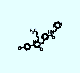 O=C(NCc1cnccn1)c1cccc(Cn2c(CCCC(F)(F)F)nc(-c3ccc(Cl)cc3)cc2=O)c1